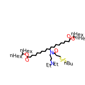 CCCCCCC(CCCCCC)OC(=O)CCCCCCCCC(CCCCCCCCC(=O)OC(CCCCCC)CCCCCC)N(CCCN(CC)CC)C(=O)CCSSCCCC